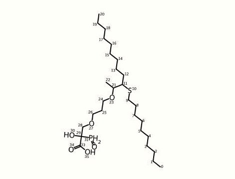 CCCCCCCCCCSC(CCCCCCCCC)C(C)OCCCOCC(O)([PH2]=O)C(=O)O